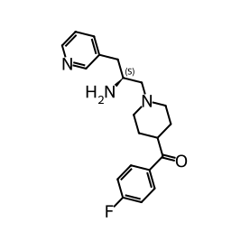 N[C@@H](Cc1cccnc1)CN1CCC(C(=O)c2ccc(F)cc2)CC1